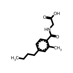 CCCCc1ccc(C(=O)NCC(=O)O)c(C)c1